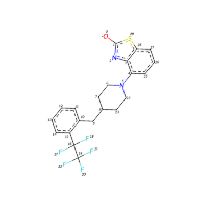 [O]c1nc2c(N3CCC(Cc4ccccc4C(F)(F)C(F)(F)F)CC3)cccc2s1